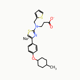 CC1CCC(Oc2ccc(-c3csc(N(CCC(=O)[O-])Cc4cccs4)n3)cc2)CC1.[Na+]